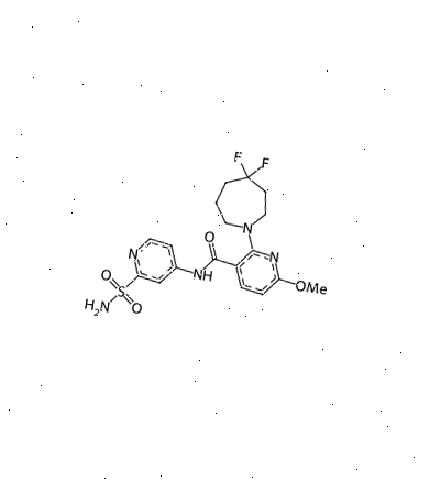 COc1ccc(C(=O)Nc2ccnc(S(N)(=O)=O)c2)c(N2CCCC(F)(F)CC2)n1